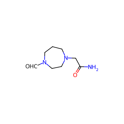 NC(=O)CN1CCCN(C=O)CC1